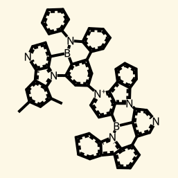 Cc1cc(C)c2c(c1)c1nccc3c1n2-c1cc(-[n+]2ccc4c5c2c2ccccc2n5-c2cncc5c2B4n2c4ccccc4c4cccc-5c42)cc2c1B3N(c1ccccc1)c1ccccc1-2